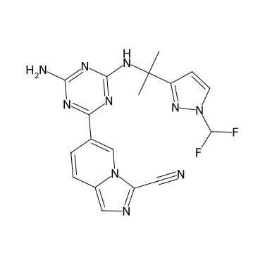 CC(C)(Nc1nc(N)nc(-c2ccc3cnc(C#N)n3c2)n1)c1ccn(C(F)F)n1